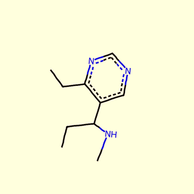 CCc1ncncc1C(CC)NC